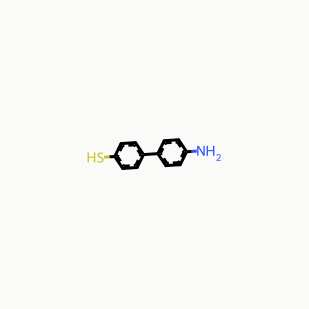 Nc1ccc(-c2ccc(S)cc2)cc1